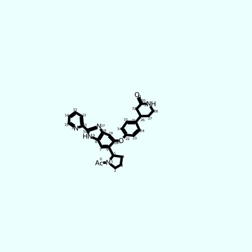 CC(=O)N1CCCC1c1cc2[nH]c(-c3ccccn3)nc2cc1Oc1ccc(C2CCNC(=O)C2)cc1